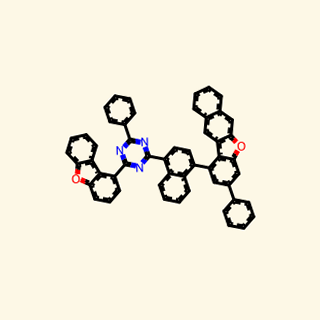 c1ccc(-c2cc(-c3ccc(-c4nc(-c5ccccc5)nc(-c5cccc6oc7ccccc7c56)n4)c4ccccc34)c3c(c2)oc2cc4ccccc4cc23)cc1